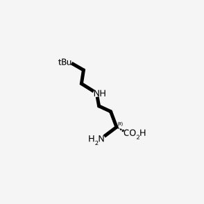 CC(C)(C)CCNCC[C@@H](N)C(=O)O